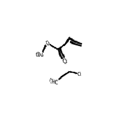 C=CC(=O)OC(C)(C)C.O=CCCl